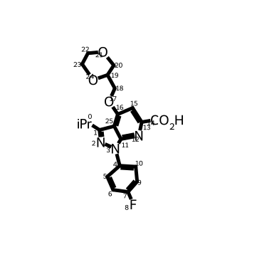 CC(C)c1nn(-c2ccc(F)cc2)c2nc(C(=O)O)cc(OCC3COCCO3)c12